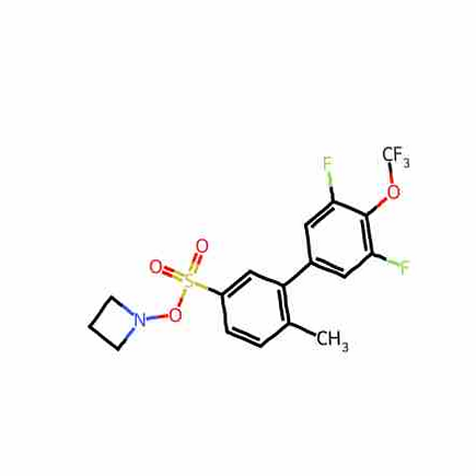 Cc1ccc(S(=O)(=O)ON2CCC2)cc1-c1cc(F)c(OC(F)(F)F)c(F)c1